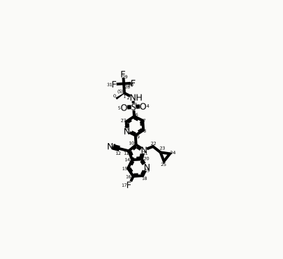 C[C@H](NS(=O)(=O)c1ccc(-c2c(C#N)c3cc(F)cnc3n2CC2CC2)nc1)C(F)(F)F